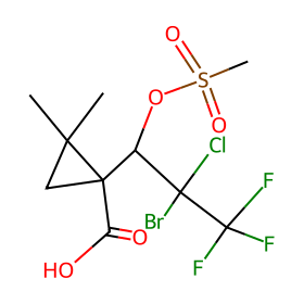 CC1(C)CC1(C(=O)O)C(OS(C)(=O)=O)C(Cl)(Br)C(F)(F)F